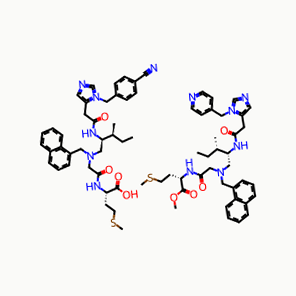 CC[C@H](C)[C@@H](CN(CC(=O)N[C@@H](CCSC)C(=O)O)Cc1cccc2ccccc12)NC(=O)Cc1cncn1Cc1ccc(C#N)cc1.CC[C@H](C)[C@@H](CN(CC(=O)N[C@@H](CCSC)C(=O)OC)Cc1cccc2ccccc12)NC(=O)Cc1cncn1Cc1ccncc1